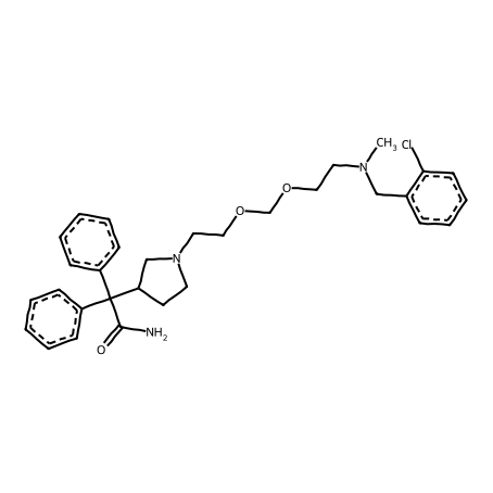 CN(CCOCOCCN1CCC(C(C(N)=O)(c2ccccc2)c2ccccc2)C1)Cc1ccccc1Cl